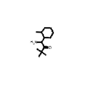 CC1CCCCC1C(N)C(=O)C(C)(C)C